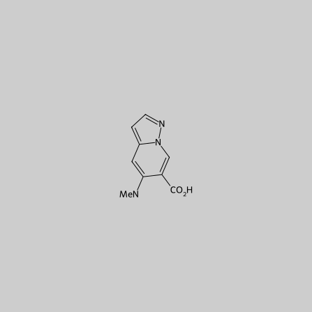 CNc1cc2ccnn2cc1C(=O)O